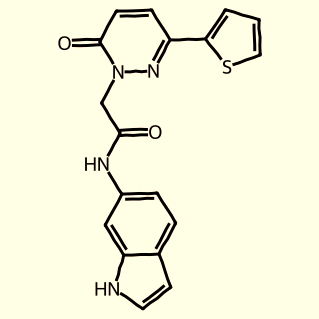 O=C(Cn1nc(-c2cccs2)ccc1=O)Nc1ccc2cc[nH]c2c1